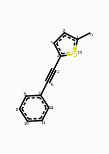 Cc1ccc(C#Cc2ccccc2)s1